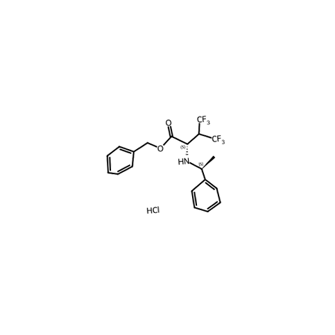 C[C@H](N[C@H](C(=O)OCc1ccccc1)C(C(F)(F)F)C(F)(F)F)c1ccccc1.Cl